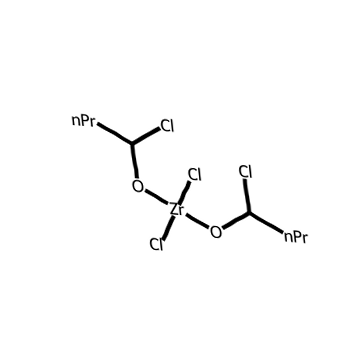 CCCC(Cl)[O][Zr]([Cl])([Cl])[O]C(Cl)CCC